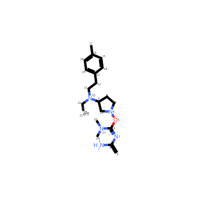 C=C(N)/N=C(/ON1CCC(N(CCc2ccc(C)cc2)CC(C)C)C1)N(C)C